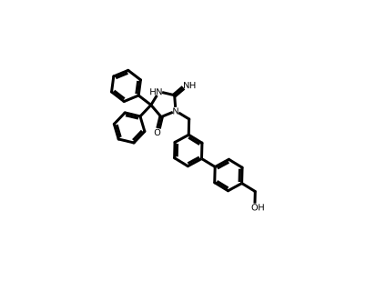 N=C1NC(c2ccccc2)(c2ccccc2)C(=O)N1Cc1cccc(-c2ccc(CO)cc2)c1